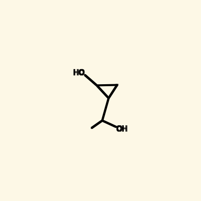 CC(O)C1CC1O